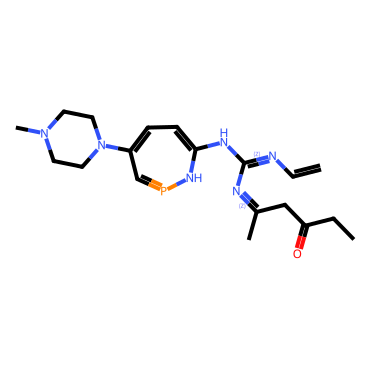 C=C/N=C(\N=C(\C)CC(=O)CC)NC1=CC=C(N2CCN(C)CC2)C=PN1